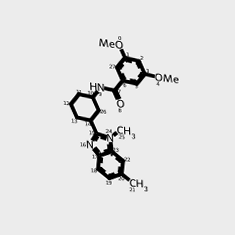 COc1cc(OC)cc(C(=O)NC2CCCC(c3nc4ccc(C)cc4n3C)C2)c1